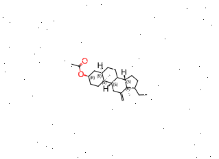 C=C1C[C@H]2C(CC[C@@H]3C[C@H](OC(C)=O)CC[C@@]32C)[C@@H]2CCC(CC)[C@@]12C